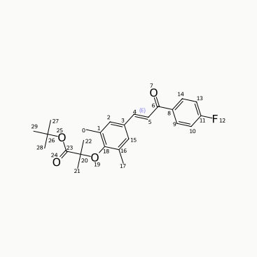 Cc1cc(/C=C/C(=O)c2ccc(F)cc2)cc(C)c1OC(C)(C)C(=O)OC(C)(C)C